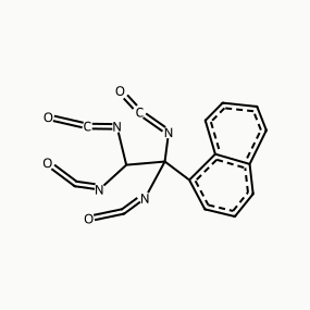 O=C=NC(N=C=O)C(N=C=O)(N=C=O)c1cccc2ccccc12